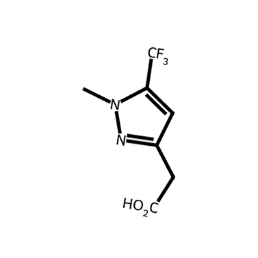 Cn1nc(CC(=O)O)cc1C(F)(F)F